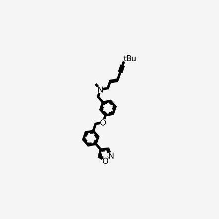 CN(CC=CC#CC(C)(C)C)Cc1cccc(OCc2cccc(-c3cnoc3)c2)c1